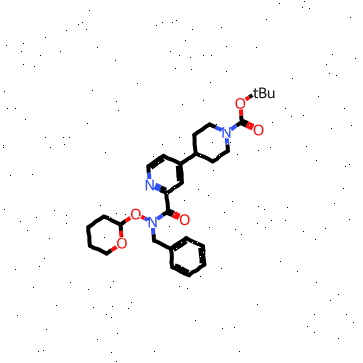 CC(C)(C)OC(=O)N1CCC(c2ccnc(C(=O)N(Cc3ccccc3)OC3CCCCO3)c2)CC1